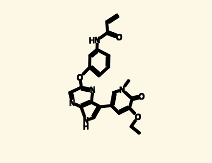 C=CC(=O)Nc1cccc(Oc2cnc3[nH]cc(-c4cc(OCC)c(=O)n(C)c4)c3n2)c1